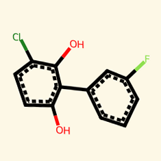 Oc1ccc(Cl)c(O)c1-c1cccc(F)c1